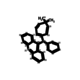 CC1(C)C=CC=C(N(c2ccccc2)c2c3ccccc3nc3ccccc23)C=C1